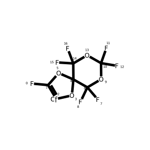 F[C]1=[Cf][O]C2(O1)C(F)(F)OC(F)(F)OC2(F)F